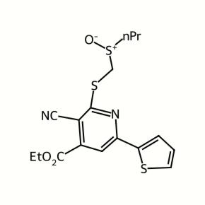 CCC[S+]([O-])CSc1nc(-c2cccs2)cc(C(=O)OCC)c1C#N